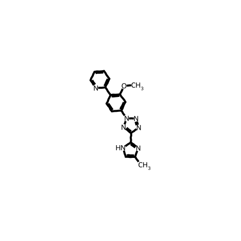 COc1cc(-n2nnc(-c3nc(C)c[nH]3)n2)ccc1-c1ccccn1